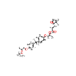 CCCC(C)(C)OC(C)COc1ccc(C(C)(C)c2ccc(OCC(C)OC(=O)/C=C/C(=O)C(C)(C)CC)cc2)cc1